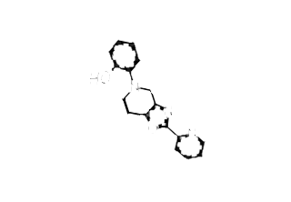 Oc1ccccc1N1CCc2oc(-c3ccccn3)nc2C1